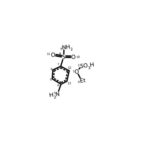 CCOS(=O)(=O)O.Nc1ccc(S(N)(=O)=O)cc1